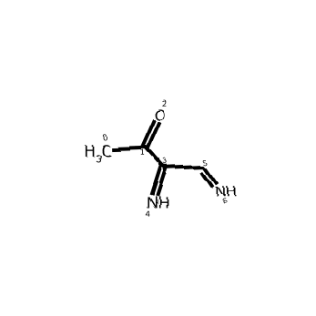 CC(=O)C(=N)C=N